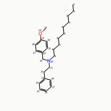 CCCCCCCCCCN(CCc1ccccc1)Cc1ccc(OC)cc1